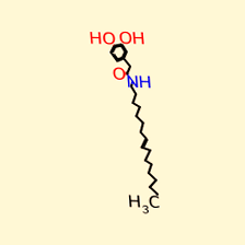 CCCCCCCC/C=C/CCCCCCCNC(=O)Cc1ccc(O)c(O)c1